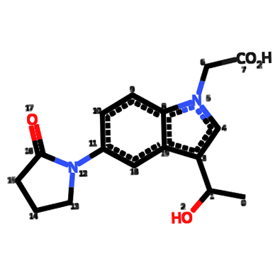 CC(O)c1cn(CC(=O)O)c2ccc(N3CCCC3=O)cc12